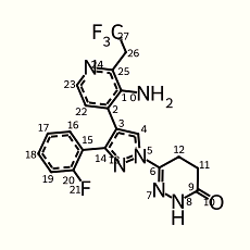 Nc1c(-c2cn(C3=NNC(=O)CC3)nc2-c2ccccc2F)ccnc1CC(F)(F)F